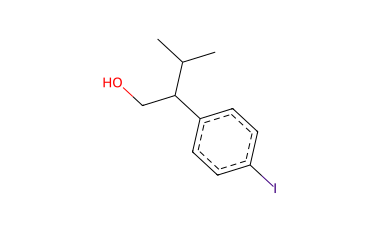 CC(C)C(CO)c1ccc(I)cc1